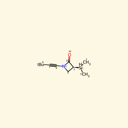 C[SiH](C)[C@H]1CN(C#CC(C)(C)C)C1=O